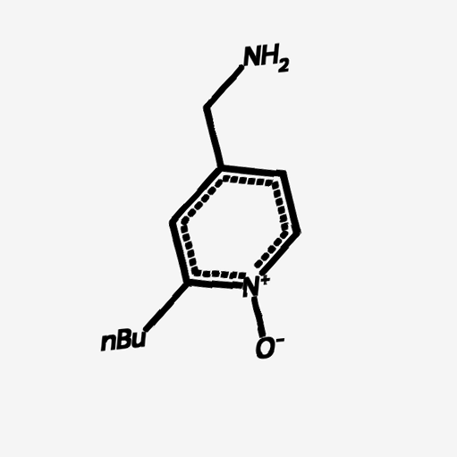 CCCCc1cc(CN)cc[n+]1[O-]